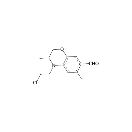 Cc1cc2c(cc1C=O)OCC(C)N2CCCl